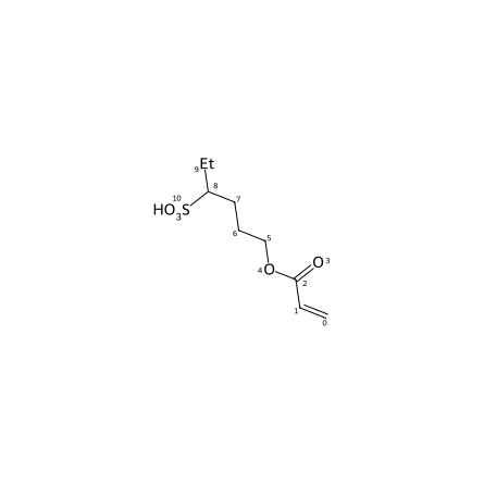 C=CC(=O)OCCCC(CC)S(=O)(=O)O